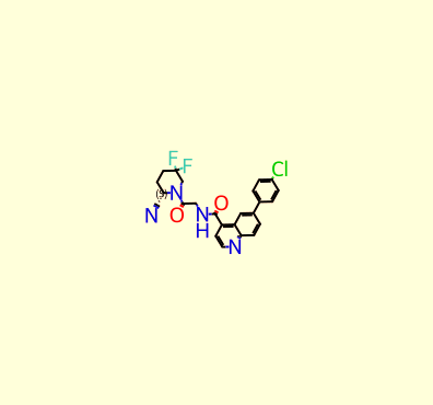 N#C[C@@H]1CCC(F)(F)CN1C(=O)CNC(=O)c1ccnc2ccc(-c3ccc(Cl)cc3)cc12